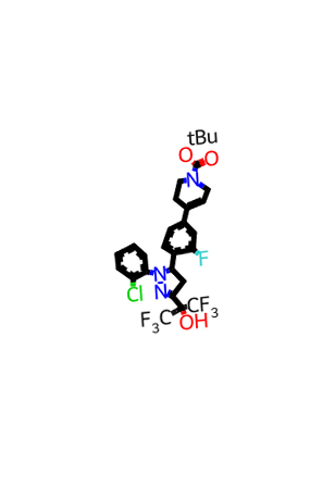 CC(C)(C)OC(=O)N1CC=C(c2ccc(C3CC(C(O)(C(F)(F)F)C(F)(F)F)=NN3c3ccccc3Cl)c(F)c2)CC1